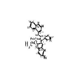 COc1nc2ccc(Br)cc2cc1C(c1ccccc1)C(O)CCc1cccc2ccccc12